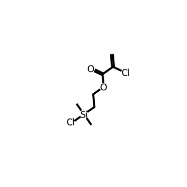 C=C(Cl)C(=O)OCC[Si](C)(C)Cl